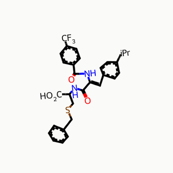 CC(C)c1ccc(C=C(NC(=O)c2ccc(C(F)(F)F)cc2)C(=O)NC(CSCc2ccccc2)C(=O)O)cc1